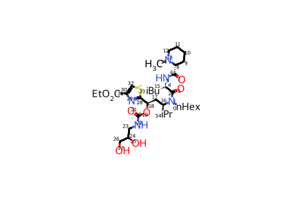 CCCCCCN(C(=O)[C@@H](NC(=O)[C@H]1CCCCN1C)[C@@H](C)CC)[C@H](C[C@@H](OC(=O)NCC(O)CO)c1nc(C(=O)OCC)cs1)C(C)C